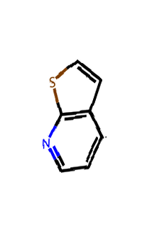 [c]1ccnc2sccc12